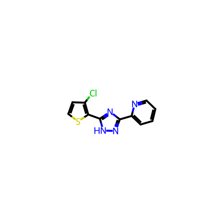 Clc1ccsc1-c1nc(-c2ccccn2)n[nH]1